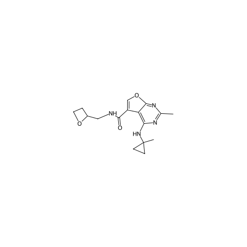 Cc1nc(NC2(C)CC2)c2c(C(=O)NCC3CCO3)coc2n1